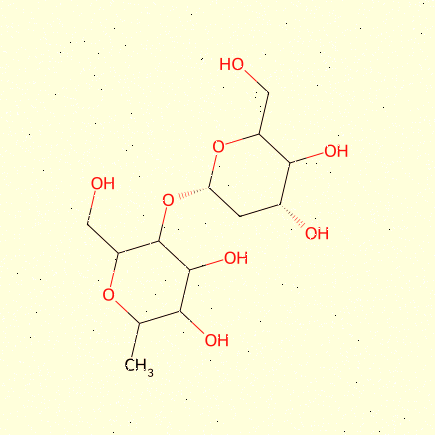 CC1OC(CO)C(O[C@H]2C[C@@H](O)C(O)C(CO)O2)C(O)C1O